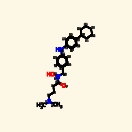 CN(C)CCCC(=O)N(O)Cc1ccc(Nc2ccc(C3CCCCC3)cc2)cc1